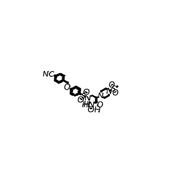 CS(=O)(=O)N1CCN(C(CNS(=O)(=O)c2ccc(OCc3ccc(C#N)cc3)cc2)C(=O)NO)CC1